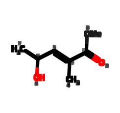 COC(=O)C(C)=CC(C)O